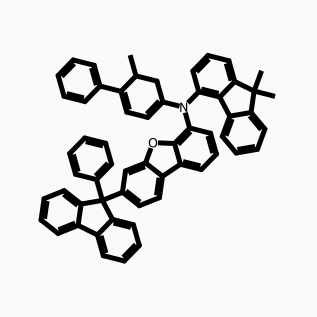 CC1CC(N(c2cccc3c2-c2ccccc2C3(C)C)c2cccc3c2oc2cc(C4(c5ccccc5)c5ccccc5-c5ccccc54)ccc23)=CC=C1c1ccccc1